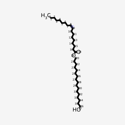 CCCCCCCC/C=C\CCCCCCCC(=O)OCCCCCCCCCCCCCCCCCO